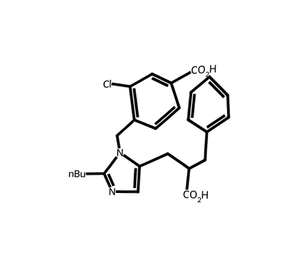 CCCCc1ncc(CC(Cc2ccccc2)C(=O)O)n1Cc1ccc(C(=O)O)cc1Cl